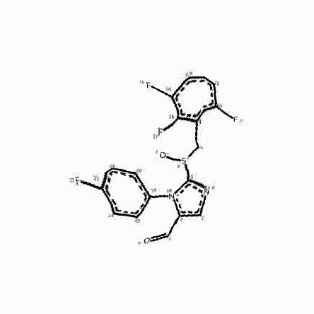 O=[C]c1cnc([S+]([O-])Cc2c(F)ccc(F)c2F)n1-c1ccc(F)cc1